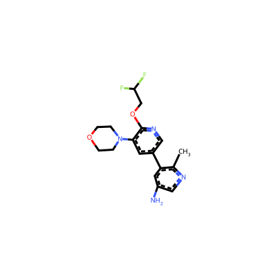 Cc1ncc(N)cc1-c1cnc(OCC(F)F)c(N2CCOCC2)c1